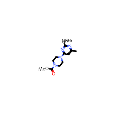 CNc1nc(C)cc(N2CCN(C(=O)OC)CC2)n1